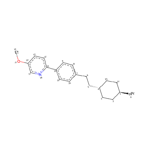 CCC[C@H]1CC[C@H](CCc2ccc(-c3ccc(OCC)cn3)cc2)CC1